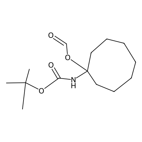 CC(C)(C)OC(=O)NC1(OC=O)CCCCCCC1